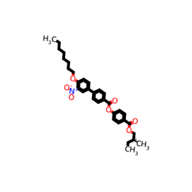 CCCCCCCCOc1ccc(-c2ccc(C(=O)Oc3ccc(C(=O)OC[C@@H](C)CC)cc3)cc2)cc1[N+](=O)[O-]